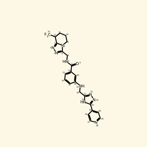 O=C(NCc1nnc2n1CCCC2C(F)(F)F)c1cccc(NCc2nnc(-c3ccncc3)[nH]2)c1